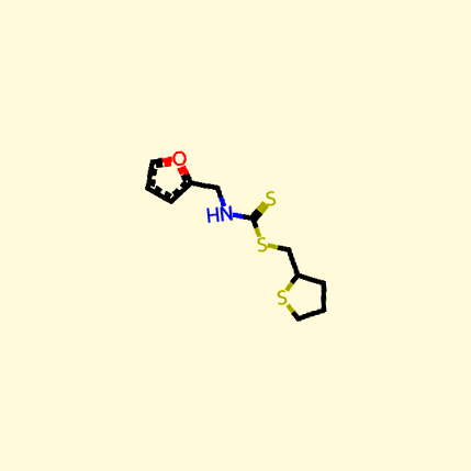 S=C(NCc1ccco1)SCC1CCCS1